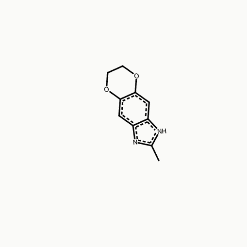 Cc1nc2cc3c(cc2[nH]1)OCCO3